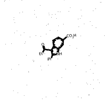 CCC(=O)c1c(C(C)C)[nH]c2cc(C(=O)O)ccc12